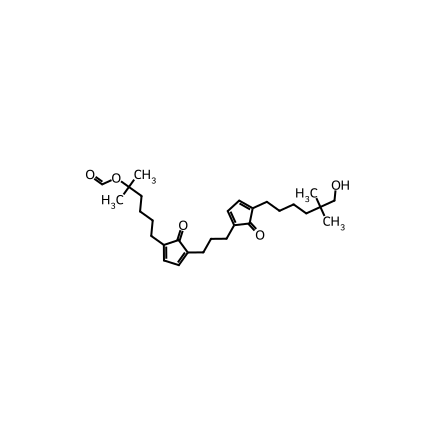 CC(C)(CO)CCCCC1=CC=C(CCCC2=CC=C(CCCCC(C)(C)OC=O)C2=O)C1=O